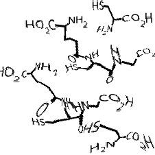 NC(CCC(=O)NC(CS)C(=O)NCC(=O)O)C(=O)O.NC(CCC(=O)NC(CS)C(=O)NCC(=O)O)C(=O)O.N[C@@H](CS)C(=O)O.N[C@@H](CS)C(=O)O